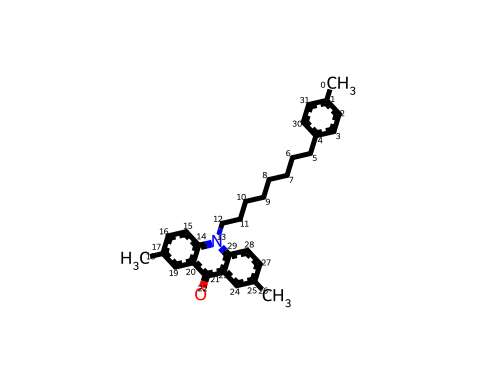 Cc1ccc(CCCCCCCCn2c3ccc(C)cc3c(=O)c3cc(C)ccc32)cc1